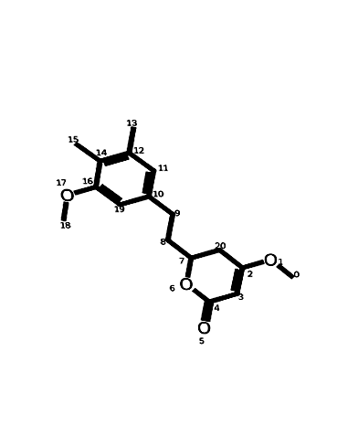 COC1=CC(=O)OC(CCc2cc(C)c(C)c(OC)c2)C1